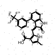 Cc1cc(C(=O)O)c(C=C2C(=O)Nc3cccc(-c4cccc(C(F)(F)F)c4)c32)[nH]1